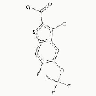 O=C(Cl)c1sc2cc(F)c(OC(F)(F)F)cc2c1Cl